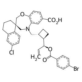 C=C[C@H](OC(=O)c1ccc(Br)cc1)[C@@H]1CC[C@H]1CN1C[C@@]2(CCCc3cc(Cl)ccc32)COc2ccc(C(=O)O)cc21